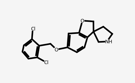 Clc1cccc(Cl)c1COc1ccc2c(c1)OCC21CCNC1